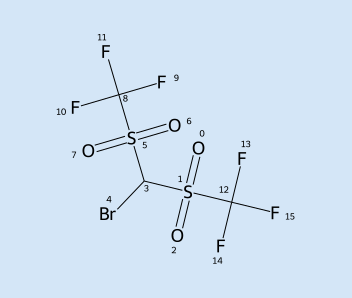 O=S(=O)(C(Br)S(=O)(=O)C(F)(F)F)C(F)(F)F